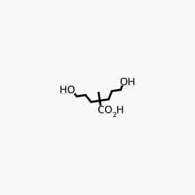 CC(CCCO)(CCCO)C(=O)O